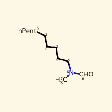 CCCCCCCCCCN(C)C=O